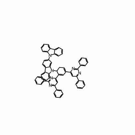 C1=C(c2cc(-c3ccccc3)nc(-c3ccccc3)n2)C=C(c2cc(-c3ccccc3)nc(-c3ccccc3)n2)C(n2c3ccccc3c3ccc(-n4c5ccccc5c5ccccc54)cc32)C1